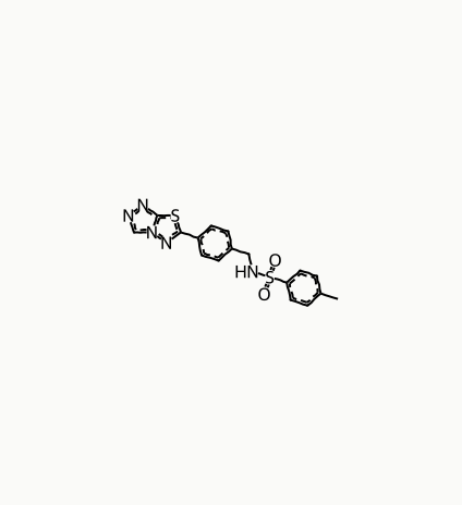 Cc1ccc(S(=O)(=O)NCc2ccc(-c3nn4cnnc4s3)cc2)cc1